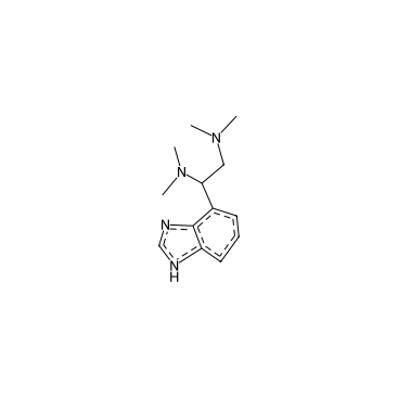 CN(C)CC(c1cccc2[nH]cnc12)N(C)C